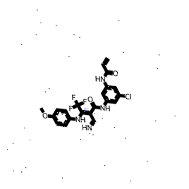 C=CC(=O)Nc1cc(Cl)cc(NC(=O)/C(C=N)=C(/Nc2ccc(OC)cc2)C(F)(F)F)c1